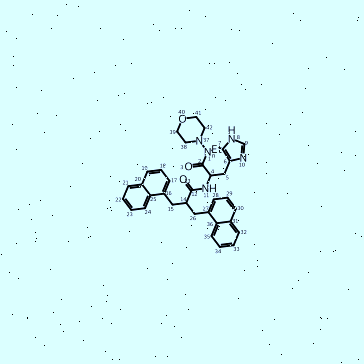 CCN(C(=O)C(Cc1c[nH]cn1)NC(=O)C(Cc1cccc2ccccc12)Cc1cccc2ccccc12)N1CCOCC1